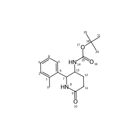 Cc1ccccc1C1NC(=O)CCC1NC(=O)OC(C)(C)C